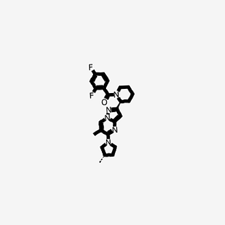 Cc1cn2nc([C@@H]3CCCCN3C(=O)c3ccc(F)cc3F)cc2nc1N1CC[C@H](C)C1